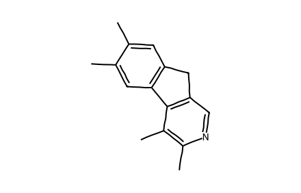 Cc1cc2c(cc1C)-c1c(cnc(C)c1C)C2